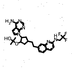 CC(C)(O)OC1CC(CCc2ccc3ccc(NCC(F)(F)F)nc3c2)CC1n1ccc2c(N)ncnc21